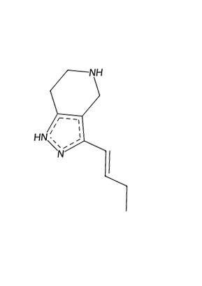 CCC=Cc1n[nH]c2c1CNCC2